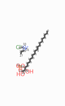 CCCCCCCCC=CCCCCCCCCC(OP(=O)=O)C(O)CO.CCC[N+](C)(C)C.[Cl-]